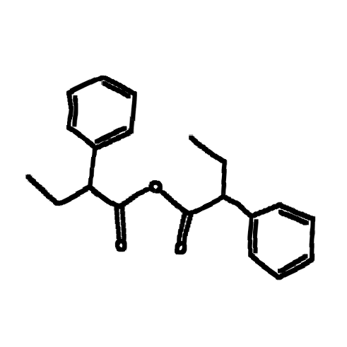 CCC(C(=O)OC(=O)C(CC)c1ccccc1)c1ccccc1